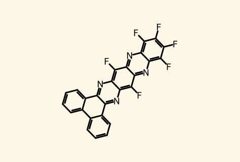 Fc1c(F)c(F)c2nc3c(F)c4nc5c6ccccc6c6ccccc6c5nc4c(F)c3nc2c1F